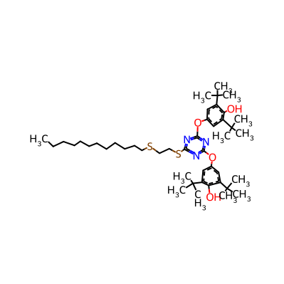 CCCCCCCCCCCCSCCSc1nc(Oc2cc(C(C)(C)C)c(O)c(C(C)(C)C)c2)nc(Oc2cc(C(C)(C)C)c(O)c(C(C)(C)C)c2)n1